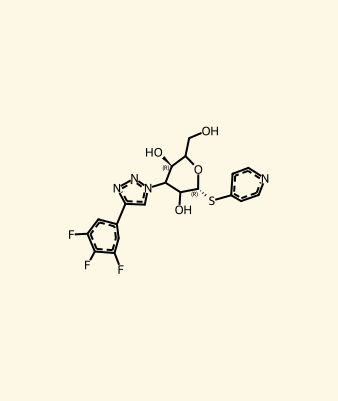 OCC1O[C@H](Sc2ccncc2)C(O)C(n2cc(-c3cc(F)c(F)c(F)c3)nn2)[C@H]1O